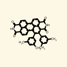 Cc1cc(C)cc(-c2c3c4c(ccc5c6ccc7c8c(ccc(c(c2-c2cc(C)cc(C)c2)c45)c86)C(=O)NC7=O)C(=O)NC3=O)c1